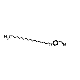 CCCCCCCCCCCCCCCCCCOc1ccc(CC#N)cc1